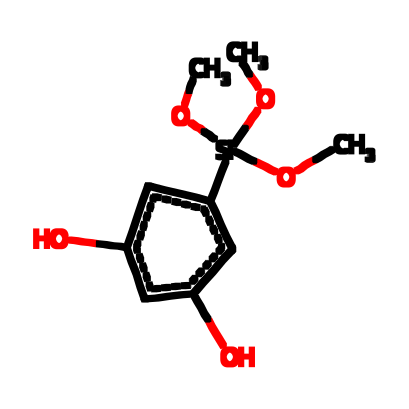 CO[Si](OC)(OC)c1cc(O)cc(O)c1